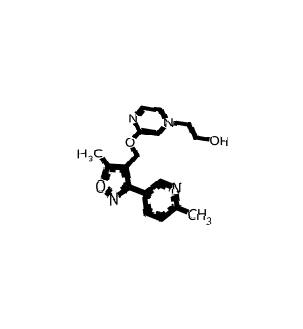 Cc1ccc(-c2noc(C)c2COC2=CN(CCO)CC=N2)cn1